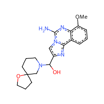 COc1cccc2c1nc(N)n1cc(C(O)N3CCCC4(CCCO4)C3)nc21